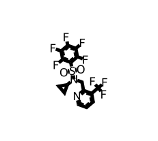 O=S(=O)(c1c(F)c(F)c(F)c(F)c1F)N(Cc1ncccc1C(F)(F)F)C1CC1